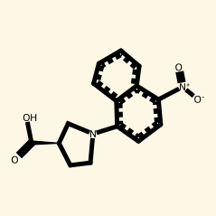 O=C(O)[C@@H]1CCN(c2ccc([N+](=O)[O-])c3ccccc23)C1